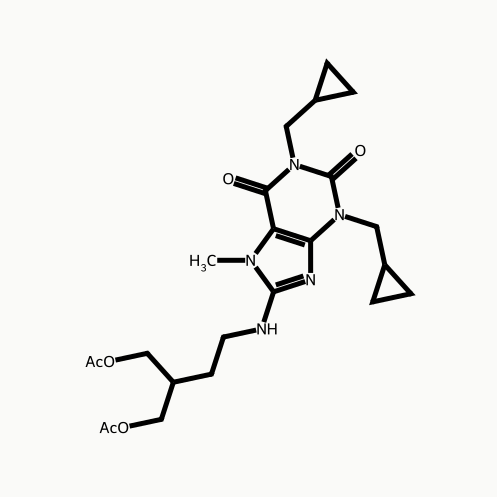 CC(=O)OCC(CCNc1nc2c(c(=O)n(CC3CC3)c(=O)n2CC2CC2)n1C)COC(C)=O